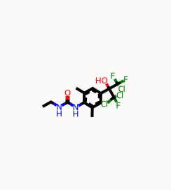 CCNC(=O)Nc1c(C)cc(C(O)(C(F)(F)Cl)C(F)(Cl)Cl)cc1C